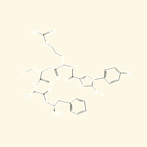 CC[C@H](C)[C@H](NC(=O)[C@H](CC(C)C)NC(=O)[C@H](CCCNC(=N)N)NC(=O)C1=NN(c2ccc(Cl)cc2)C(C)N1)C(=O)N[C@@H](Cc1ccccc1)C(=O)O